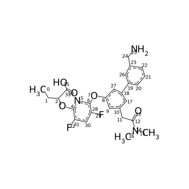 CCC(Oc1nc(Oc2cc(CC(=O)N(C)C)cc(-c3cccc(CN)c3)c2)c(F)cc1F)C(=O)O